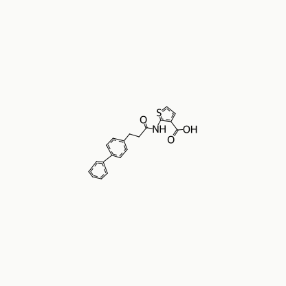 O=C(CCc1ccc(-c2ccccc2)cc1)Nc1sccc1C(=O)O